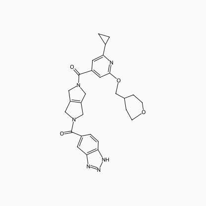 O=C(c1cc(OCC2CCOCC2)nc(C2CC2)c1)N1CC2=C(C1)CN(C(=O)c1ccc3[nH]nnc3c1)C2